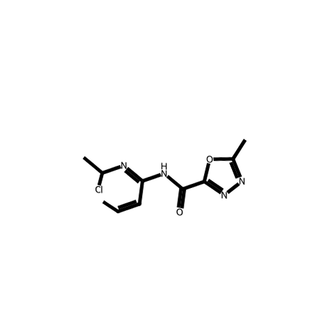 C/C=C\C(=N/C(C)Cl)NC(=O)c1nnc(C)o1